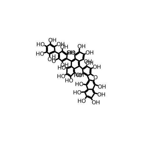 Oc1c(O)c(O)c(-c2c(O)c(O)c(-c3c4c(O)c(O)c(O)c(O)c4c(-c4c(O)c(O)c5oc6c(O)c7c(O)c(O)c(O)c(O)c7c(O)c6c5c4O)c4c(O)c(O)c(O)c(O)c34)c(O)c2O)c(O)c1O